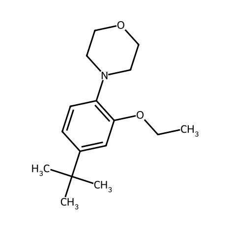 CCOc1cc(C(C)(C)C)ccc1N1CCOCC1